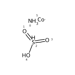 N.O=[SH](=O)O.[Co]